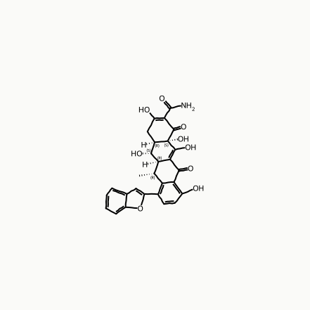 C[C@H]1c2c(-c3cc4ccccc4o3)ccc(O)c2C(=O)C2=C(O)[C@]3(O)C(=O)C(C(N)=O)=C(O)C[C@@H]3[C@@H](O)[C@@H]21